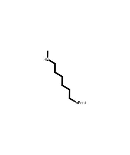 CBCCCCCCCCCCC